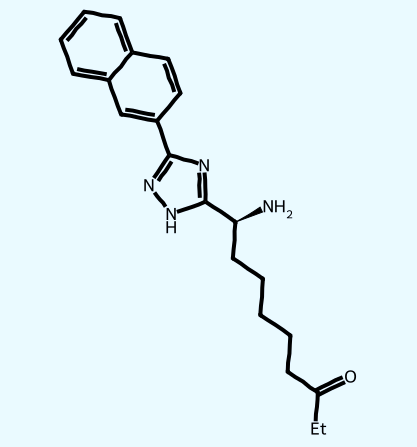 CCC(=O)CCCCC[C@H](N)c1nc(-c2ccc3ccccc3c2)n[nH]1